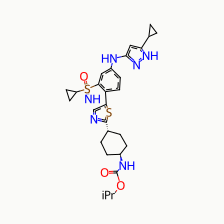 CC(C)OC(=O)N[C@H]1CC[C@H](c2ncc(-c3ccc(Nc4cc(C5CC5)[nH]n4)cc3S(=N)(=O)C3CC3)s2)CC1